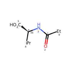 CCC(=O)N[C@H](C(=O)O)C(C)C